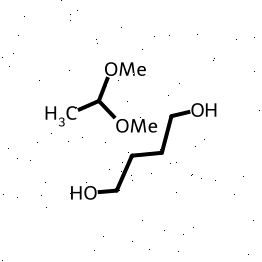 COC(C)OC.OCCCCO